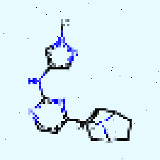 CCn1cc(Nc2nccc(C3=CC4CCC(C3)N4C=O)n2)cn1